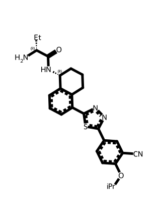 CC[C@@H](N)C(=O)N[C@@H]1CCCc2c(-c3nnc(-c4ccc(OC(C)C)c(C#N)c4)s3)cccc21